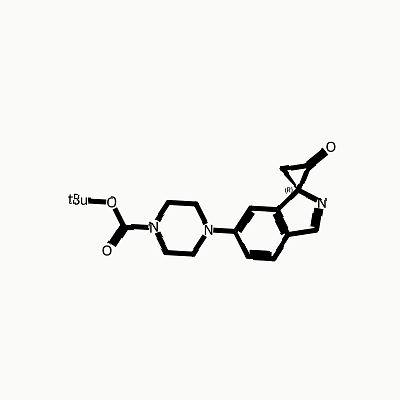 CC(C)(C)OC(=O)N1CCN(c2ccc3c(c2)[C@@]2(CC2=O)N=C3)CC1